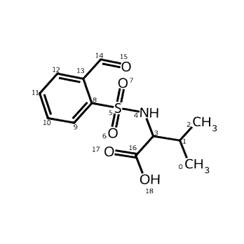 CC(C)C(NS(=O)(=O)c1ccccc1C=O)C(=O)O